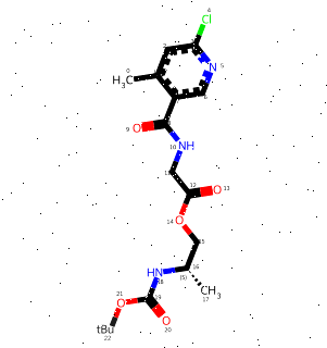 Cc1cc(Cl)ncc1C(=O)NCC(=O)OC[C@H](C)NC(=O)OC(C)(C)C